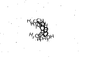 C[SiH](C)Oc1cc(O)cc2c1[C@H]1CC[C@]3(C)C(C(C)(C)C)CC[C@H]3[C@@H]1CC2